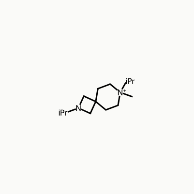 CC(C)N1CC2(CC[N+](C)(C(C)C)CC2)C1